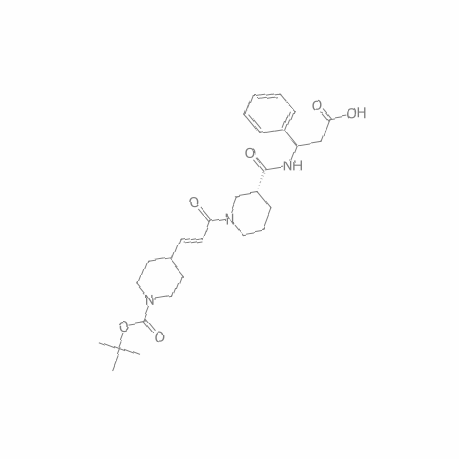 CC(C)(C)OC(=O)N1CCC(/C=C/C(=O)N2CCC[C@@H](C(=O)NC(CC(=O)O)c3ccccc3)C2)CC1